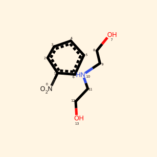 O=[N+]([O-])c1ccccc1.OCCNCCO